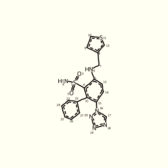 NS(=O)(=O)c1c(NCc2ccsc2)ccc(-n2cnnn2)c1-c1ccccc1